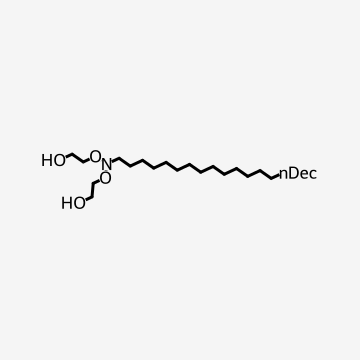 CCCCCCCCCCCCCCCCCCCCCCCCN(OCCO)OCCO